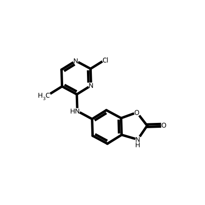 Cc1cnc(Cl)nc1Nc1ccc2[nH]c(=O)oc2c1